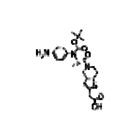 C[C@@H](C(=O)N1CCc2sc(CC(=O)O)cc2C1)N(C(=O)OC(C)(C)C)c1ccc(N)cc1